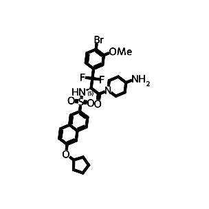 COc1cc(C(F)(F)[C@@H](NS(=O)(=O)c2ccc3cc(OC4CCCC4)ccc3c2)C(=O)N2CCC(N)CC2)ccc1Br